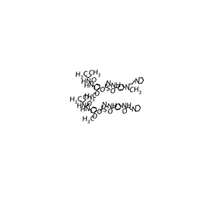 CCC(CC)NC(=O)Nc1ccc(Oc2cnc(NC(=O)c3ccc(N(CC)CCCN4CCCCC4)cc3)s2)c(OC)c1.CCC(CC)NC(=O)Nc1ccc(Oc2cnc(NC(=O)c3ccc(NC(=O)CCN4CCCCC4)cc3)s2)c(OC)c1